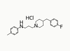 Cc1ccc(NCCCN2CCC(Cc3ccc(F)cc3)CC2)cc1.Cl